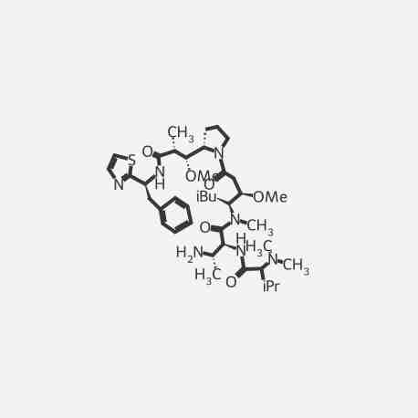 CC[C@H](C)[C@@H]([C@@H](CC(=O)N1CCC[C@H]1[C@H](OC)[C@@H](C)C(=O)N[C@@H](Cc1ccccc1)c1nccs1)OC)N(C)C(=O)[C@@H](NC(=O)C(C(C)C)N(C)C)[C@H](C)N